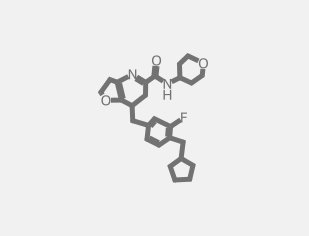 O=C(NC1CCOCC1)C1=NC2=C(OCC2)C(Cc2ccc(CC3CCCC3)c(F)c2)C1